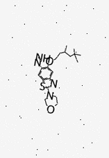 CC(CCOc1cc2nc(N3CCOCC3)sc2cc1N=N)CC(C)(C)C